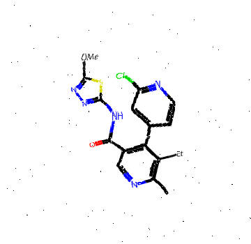 CCc1c(C)ncc(C(=O)Nc2nnc(OC)s2)c1-c1ccnc(Cl)c1